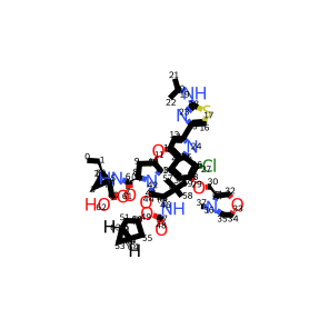 CC[C@@H]1C[C@]1(NC(=O)[C@@H]1C[C@@H](Oc2cc(-c3csc(NC(C)C)n3)nc3c(Cl)c(OC[C@H]4COCCN4C)ccc23)CN1C(=O)[C@@H](NC(=O)O[C@@H]1C[C@@H]2C[C@@H]2C1)C(C)(C)C)C(=O)O